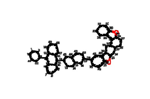 c1ccc(-c2c3ccccc3c(-c3ccc4cc(-c5ccc6oc7cc8ccc9oc%10ccccc%10c9c8cc7c6c5)ccc4c3)c3ccccc23)cc1